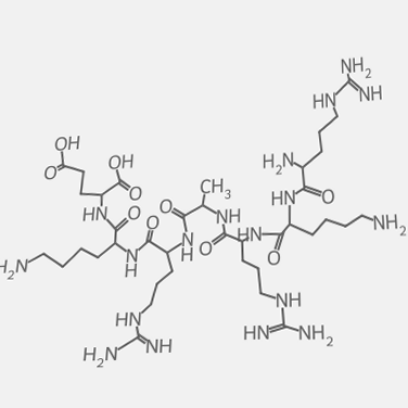 CC(NC(=O)C(CCCNC(=N)N)NC(=O)C(CCCCN)NC(=O)C(N)CCCNC(=N)N)C(=O)NC(CCCNC(=N)N)C(=O)NC(CCCCN)C(=O)NC(CCC(=O)O)C(=O)O